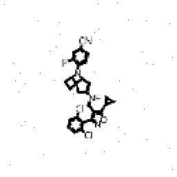 N#Cc1ccc(N2C3CCC34CC(NCc3c(-c5c(Cl)cccc5Cl)noc3C3CC3)CC24)c(F)c1